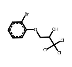 OC(COc1ccccc1Br)C(Cl)(Cl)Cl